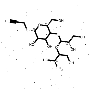 C#CCO[C@@H]1O[C@@H](CO)C(OC(OC(CO)[C@@H](C)O)[C@@H](O)CO)C(O)C1O